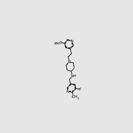 COc1cncc(CCN2CCC(NCc3cnc(C)c(F)c3)CC2)c1